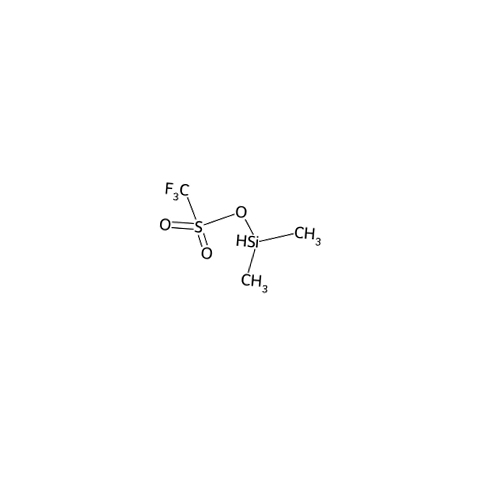 C[SiH](C)OS(=O)(=O)C(F)(F)F